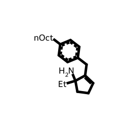 CCCCCCCCc1ccc(CC2=CCCC2(N)CC)cc1